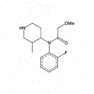 COCC(=O)N(c1ccccc1F)C1CCNCC1C